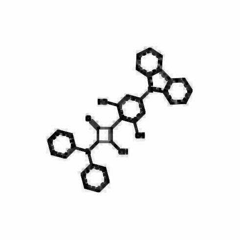 O=C1C(c2c(O)cc(-n3c4ccccc4c4ccccc43)cc2O)=C(O)C1N(c1ccccc1)c1ccccc1